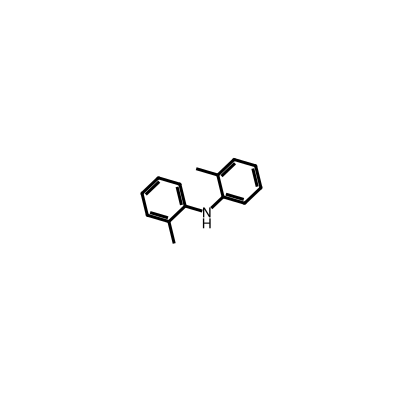 Cc1ccccc1Nc1ccccc1C